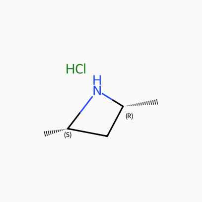 C[C@@H]1C[C@H](C)N1.Cl